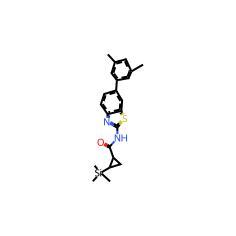 Cc1cc(C)cc(-c2ccc3nc(NC(=O)C4CC4[Si](C)(C)C)sc3c2)c1